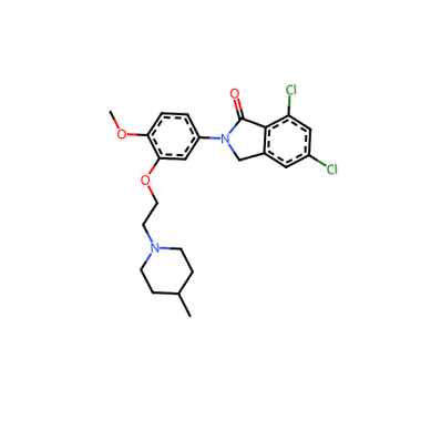 COc1ccc(N2Cc3cc(Cl)cc(Cl)c3C2=O)cc1OCCN1CCC(C)CC1